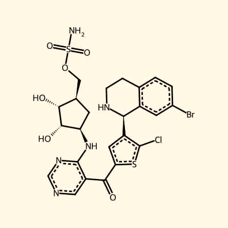 NS(=O)(=O)OC[C@H]1C[C@@H](Nc2ncncc2C(=O)c2cc([C@H]3NCCc4ccc(Br)cc43)c(Cl)s2)[C@H](O)[C@@H]1O